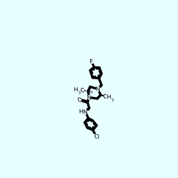 C[C@@H]1CN(Cc2ccc(F)cc2)[C@@H](C)CN1C(=O)CNc1ccc(Cl)cc1